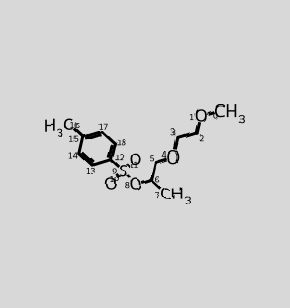 COCCOCC(C)OS(=O)(=O)c1ccc(C)cc1